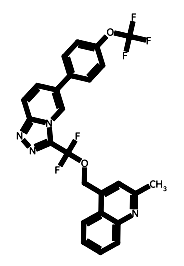 Cc1cc(COC(F)(F)c2nnc3ccc(-c4ccc(OC(F)(F)F)cc4)cn23)c2ccccc2n1